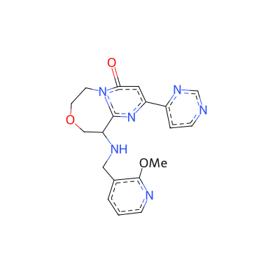 COc1ncccc1CNC1COCCn2c1nc(-c1ccncn1)cc2=O